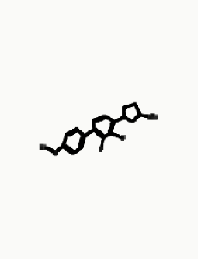 CCCCC1CCC(c2ccc(-c3ccc(OCC)cc3)c(F)c2F)C1